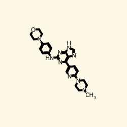 CN1CCN(c2ccc(-c3nc(Nc4ccc(N5CCOCC5)cc4)nc4[nH]cnc34)cn2)CC1